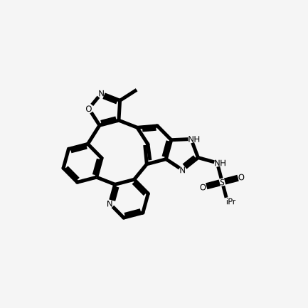 Cc1noc2c3cccc(c3)c3ncccc3c3cc(cc4[nH]c(NS(=O)(=O)C(C)C)nc43)c12